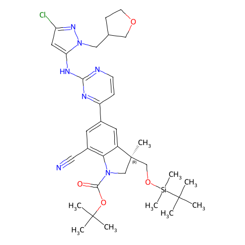 CC(C)(C)OC(=O)N1C[C@](C)(CO[Si](C)(C)C(C)(C)C)c2cc(-c3ccnc(Nc4cc(Cl)nn4CC4CCOC4)n3)cc(C#N)c21